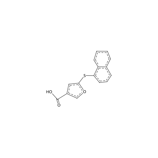 O=C(O)c1coc(Sc2cccc3ccccc23)c1